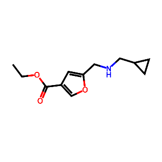 CCOC(=O)c1coc(CNCC2CC2)c1